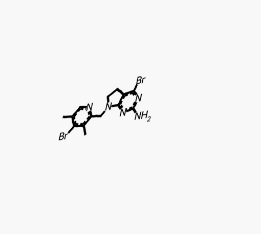 Cc1cnc(CN2CCc3c(Br)nc(N)nc32)c(C)c1Br